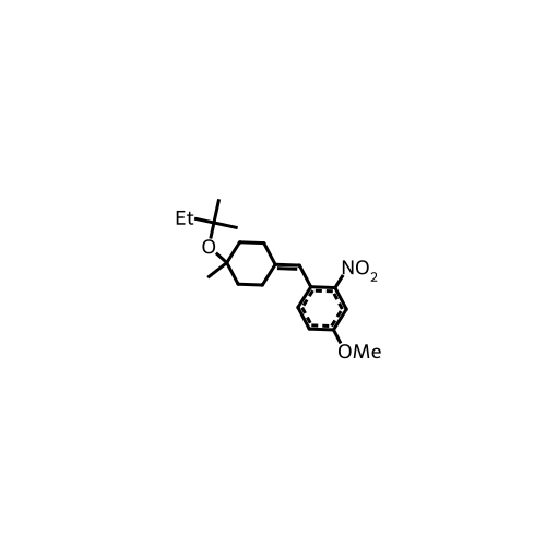 CCC(C)(C)OC1(C)CCC(=Cc2ccc(OC)cc2[N+](=O)[O-])CC1